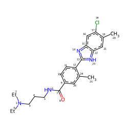 CCN(CC)CCCNC(=O)c1ccc(-c2nc3cc(Cl)c(C)cc3[nH]2)c(C)c1